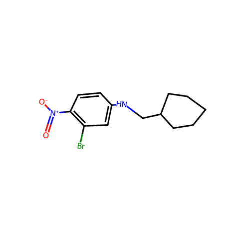 O=[N+]([O-])c1ccc(NCC2CCCCC2)cc1Br